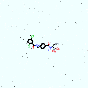 CC(C)C[C@H](NC(=O)c1ccc(CNC(=O)c2cc(Cl)ccc2Cl)cc1)B(O)O